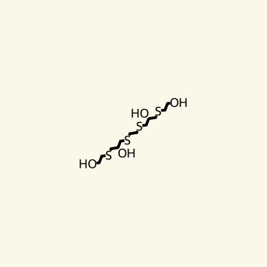 OCCSCC(O)CSCCSCC(O)CSCCO